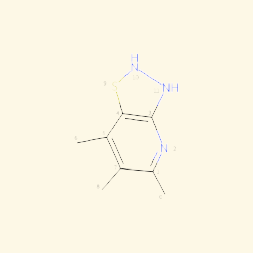 Cc1nc2c(c(C)c1C)SNN2